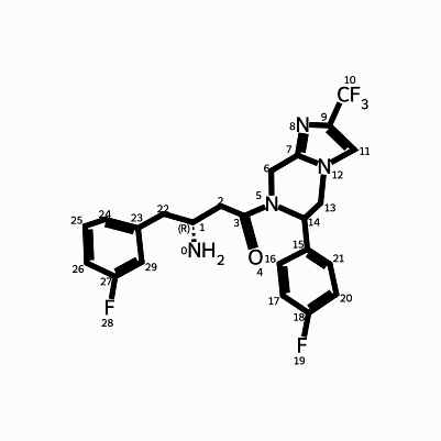 N[C@@H](CC(=O)N1Cc2nc(C(F)(F)F)cn2CC1c1ccc(F)cc1)Cc1cccc(F)c1